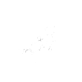 CCOC(=O)c1c(-c2ccc(F)cc2)oc2cc(N)c(C(C)C)cc12